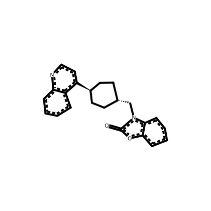 O=c1oc2ccccc2n1C[C@H]1CC[C@H](c2ccnc3ccccc32)CC1